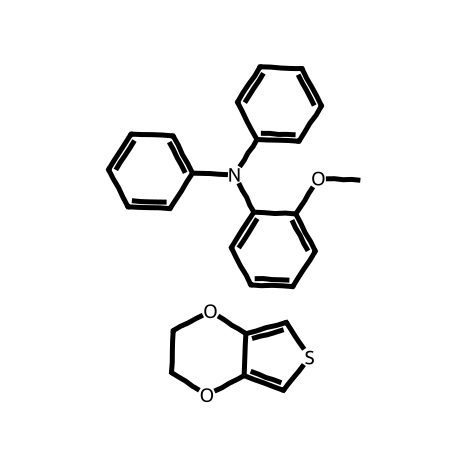 COc1ccccc1N(c1ccccc1)c1ccccc1.c1scc2c1OCCO2